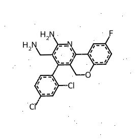 NCc1c(N)nc2c(c1-c1ccc(Cl)cc1Cl)COc1ccc(F)cc1-2